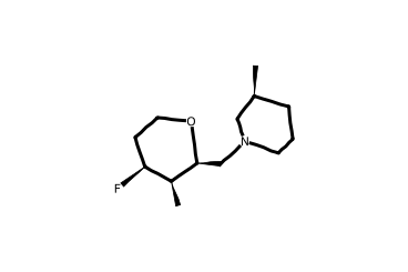 C[C@H]1CCCN(C[C@@H]2OCC[C@H](F)[C@@H]2C)C1